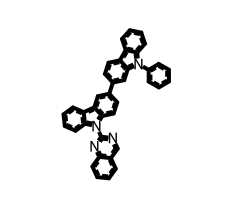 c1ccc(-n2c3ccccc3c3ccc(-c4ccc5c(c4)c4ccccc4n5-c4ncc5ccccc5n4)cc32)cc1